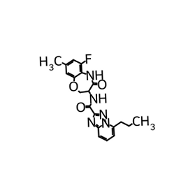 CCCc1cccc2nc(C(=O)NC3COc4cc(C)cc(F)c4NC3=O)nn12